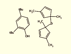 CC(C)(C)c1ccc(O)c(C(C)(C)C)c1.CC1=C[C](C)([Zr][C]2(C)C=CC(C)=C2)C=C1